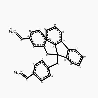 C=Cc1ccc(CC2(Cc3cccc(C=C)c3)c3ccccc3-c3ccccc32)cc1